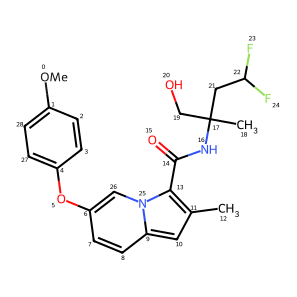 COc1ccc(Oc2ccc3cc(C)c(C(=O)NC(C)(CO)CC(F)F)n3c2)cc1